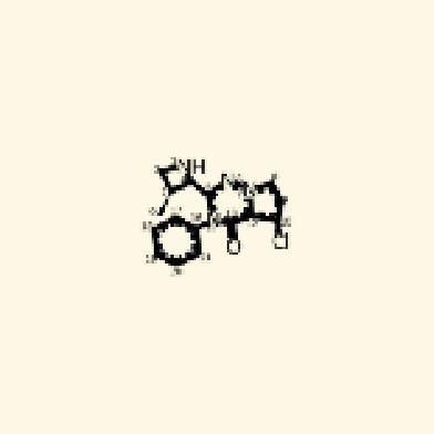 C[C@H]1CNC1c1nn2ccc(Cl)c2c(=O)n1-c1ccccc1